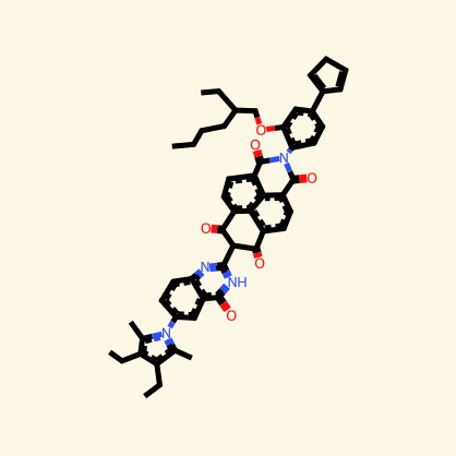 CCCCC(CC)COc1cc(C2=CCC=C2)ccc1N1C(=O)c2ccc3c4c(ccc(c24)C1=O)C(=O)C(c1nc2ccc(-n4c(C)c(CC)c(CC)c4C)cc2c(=O)[nH]1)C3=O